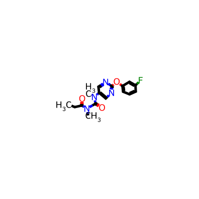 CCC(=O)N(C)C(=O)N(C)c1cnc(Oc2cccc(F)c2)nc1